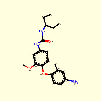 CCC(CC)NC(=O)Nc1ccc(Oc2ccc(N)cc2C)c(OC)c1